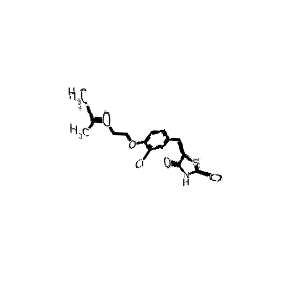 CC(C)OCCOc1ccc(/C=C2/SC(=O)NC2=O)cc1Cl